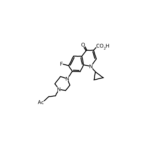 CC(=O)CCN1CCN(c2cc3c(cc2F)c(=O)c(C(=O)O)cn3C2CC2)CC1